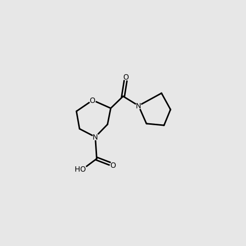 O=C(O)N1CCOC(C(=O)N2CCCC2)C1